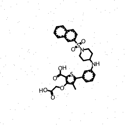 Cc1c(-c2cccc(NC3CCN(S(=O)(=O)c4ccc5ccccc5c4)CC3)c2)sc(C(=O)O)c1OCC(=O)O